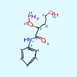 O=C(Nc1ccccc1)C(CCO)OP